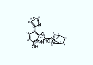 O=C(O)N1C2CCC1CN(c1nc3c(O)ccc(-c4cscn4)c3o1)C2